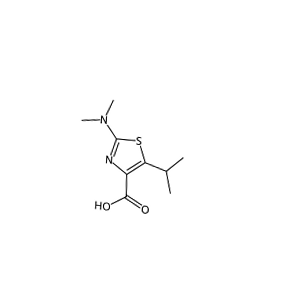 CC(C)c1sc(N(C)C)nc1C(=O)O